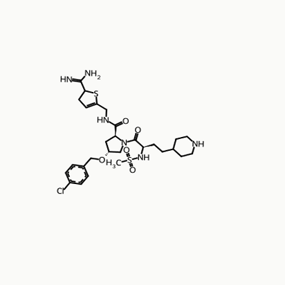 CS(=O)(=O)N[C@H](CCC1CCNCC1)C(=O)N1C[C@H](OCc2ccc(Cl)cc2)C[C@H]1C(=O)NCC1=CCC(C(=N)N)S1